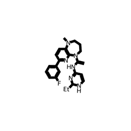 C=C(NC1=NC(CC)NC=C1)N1CCCN(C)c2ccc(-c3cccc(F)c3)nc21